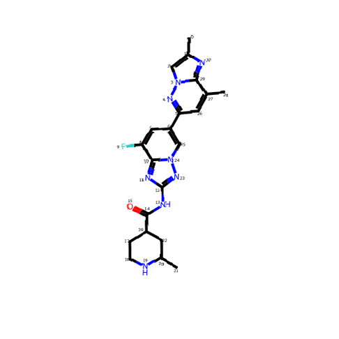 Cc1cn2nc(-c3cc(F)c4nc(NC(=O)C5CCNC(C)C5)nn4c3)cc(C)c2n1